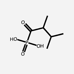 CC(C)C(C)C(=O)P(=O)(O)O